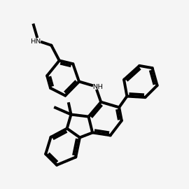 CNCc1cccc(Nc2c(-c3ccccc3)ccc3c2C(C)(C)c2ccccc2-3)c1